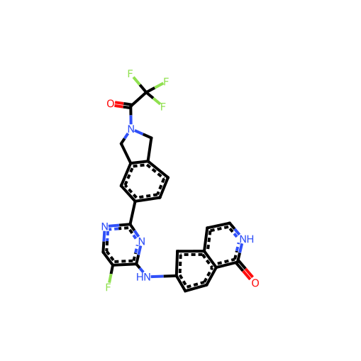 O=C(N1Cc2ccc(-c3ncc(F)c(Nc4ccc5c(=O)[nH]ccc5c4)n3)cc2C1)C(F)(F)F